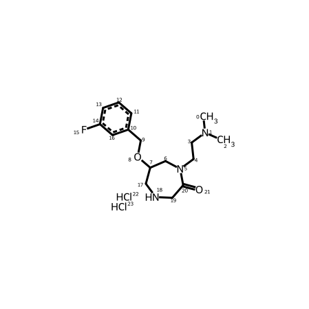 CN(C)CCN1CC(OCc2cccc(F)c2)CNCC1=O.Cl.Cl